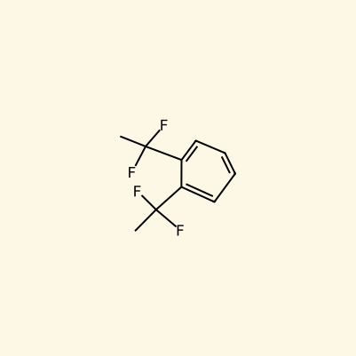 CC(F)(F)c1ccccc1C(C)(F)F